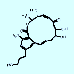 CC1OC(=O)c2c(N)cc(CCCO)cc2/C=C/CC(O)C(O)C(=O)/C=C\[C@H]1C